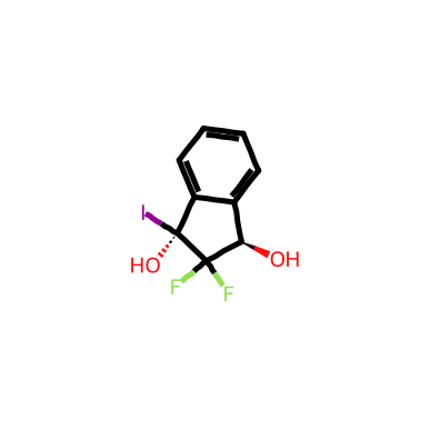 O[C@@H]1c2ccccc2[C@](O)(I)C1(F)F